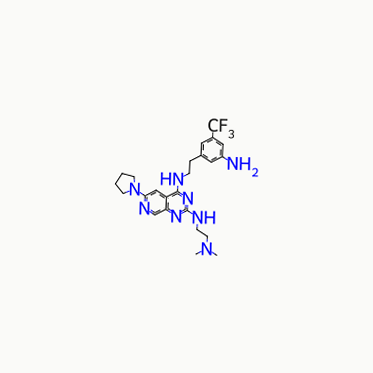 CN(C)CCNc1nc(NCCc2cc(N)cc(C(F)(F)F)c2)c2cc(N3CCCC3)ncc2n1